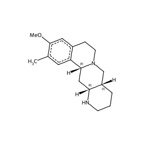 COc1cc2c(cc1C)[C@H]1C[C@H]3NCCC[C@H]3CN1CC2